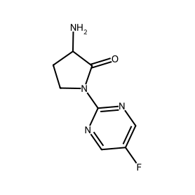 NC1CCN(c2ncc(F)cn2)C1=O